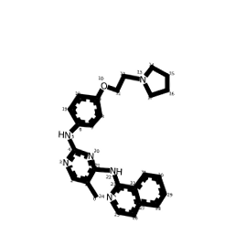 Cc1cnc(Nc2ccc(OCCN3CCCC3)cc2)nc1Nc1nccc2ccccc12